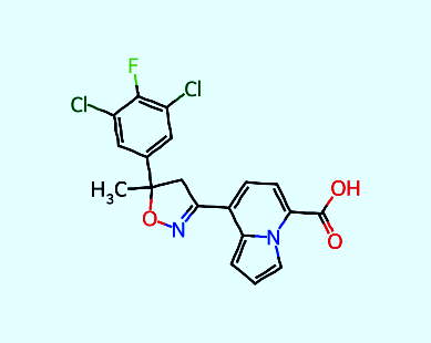 CC1(c2cc(Cl)c(F)c(Cl)c2)CC(c2ccc(C(=O)O)n3cccc23)=NO1